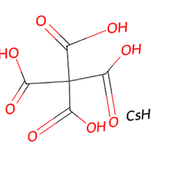 O=C(O)C(C(=O)O)(C(=O)O)C(=O)O.[CsH]